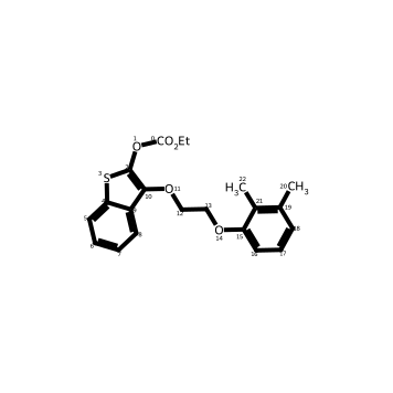 CCOC(=O)Oc1sc2ccccc2c1OCCOc1cccc(C)c1C